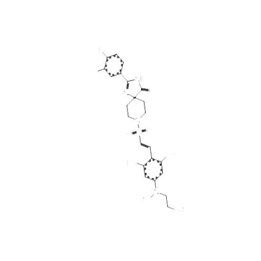 CC(=O)OCCN(C(C)=O)c1cc(C)c(/C=C/S(=O)(=O)N2CCC3(CC2)N=C(c2ccc(F)c(C(F)(F)F)c2)NC3=O)c(C)c1